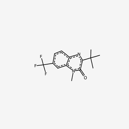 Cn1c(=O)c(C(C)(C)C)nc2ccc(C(F)(F)F)cc21